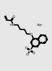 C=CC(=O)NCCCCOc1cc(S(=O)(=O)[O-])cc2ccccc12.[Na+]